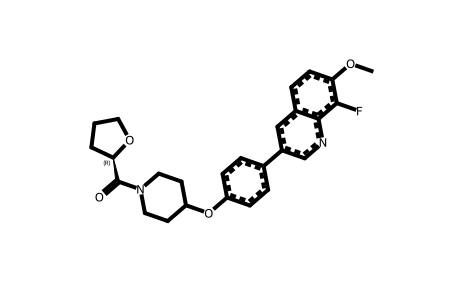 COc1ccc2cc(-c3ccc(OC4CCN(C(=O)[C@H]5CCCO5)CC4)cc3)cnc2c1F